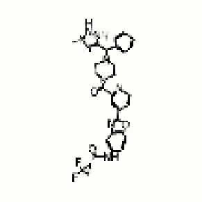 CN1N=C(C(c2ccccc2)N2CCN(C(=O)c3cc(-c4nc5cc(NC(=O)[C@@H]6CC6(F)F)ccc5o4)ccn3)CC2)NN1